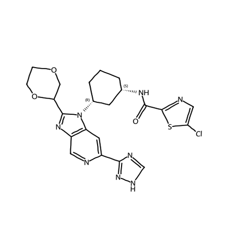 O=C(N[C@H]1CCC[C@@H](n2c(C3COCCO3)nc3cnc(-c4nc[nH]n4)cc32)C1)c1ncc(Cl)s1